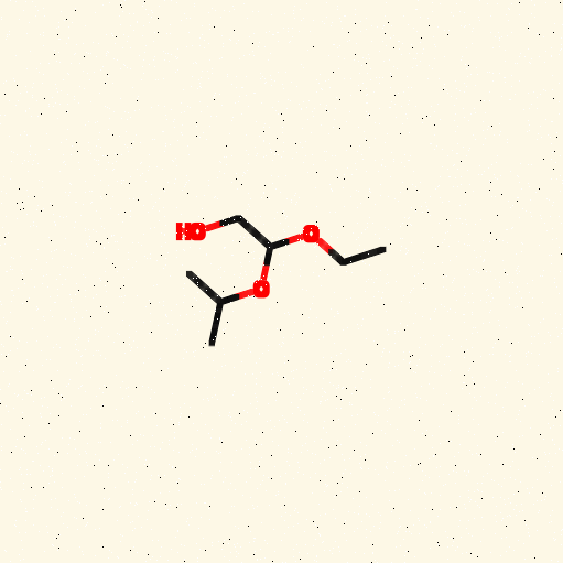 CCOC(CO)OC(C)C